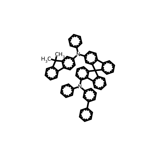 CC1(C)c2ccccc2-c2ccc(N(c3ccccc3)c3ccc4c(c3)C3(c5ccccc5-4)c4ccccc4-c4c(N(c5ccccc5)c5cccc(-c6ccccc6)c5)cccc43)cc21